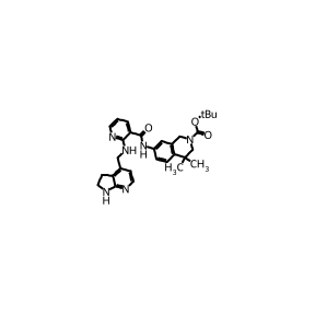 CC(C)(C)OC(=O)N1Cc2cc(NC(=O)c3cccnc3NCc3ccnc4c3CCN4)ccc2C(C)(C)C1